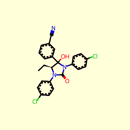 CC[C@@H]1N(c2ccc(Cl)cc2)C(=O)N(c2ccc(Cl)cc2)C1(O)c1cccc(C#N)c1